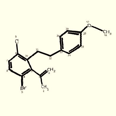 C=C(C)c1c(Br)ccc(Cl)c1CCc1ccc(OC)cc1